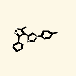 Cc1ccc(-n2cnc(-c3c(-c4ccccc4)noc3C)c2)cc1